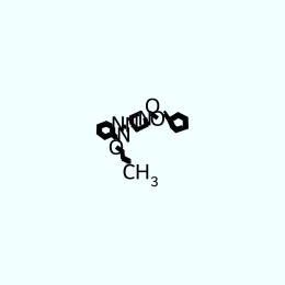 CC=CCOc1nc(N2CCN(C(=O)OCc3ccccc3)CC2)nc2ccccc12